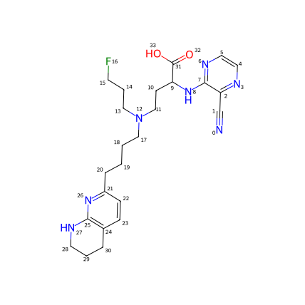 N#Cc1nccnc1NC(CCN(CCCF)CCCCc1ccc2c(n1)NCCC2)C(=O)O